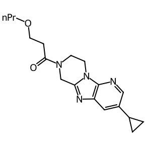 CCCOCCC(=O)N1CCn2c(nc3cc(C4CC4)cnc32)C1